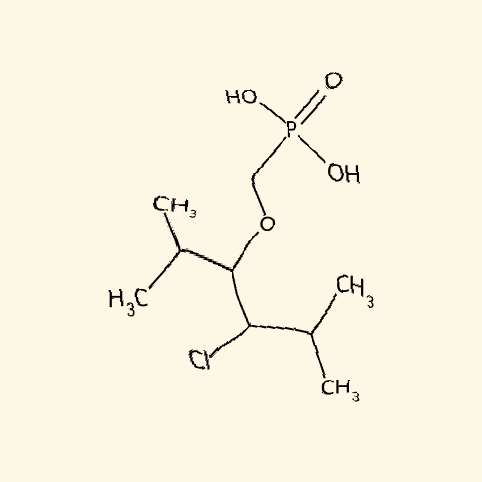 CC(C)C(Cl)C(OCP(=O)(O)O)C(C)C